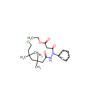 CCOC(=O)CC(=O)N(NC(=O)CC(C)(C)CC(C)(C)CCCl)c1ccccc1